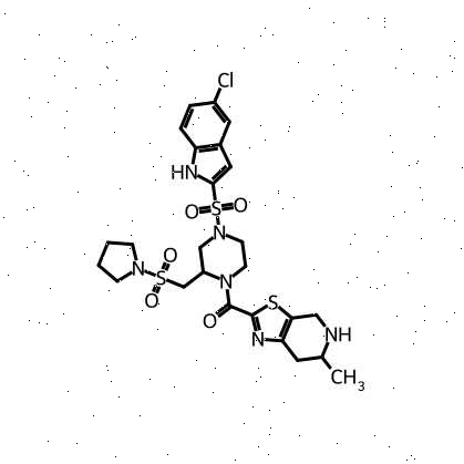 CC1Cc2nc(C(=O)N3CCN(S(=O)(=O)c4cc5cc(Cl)ccc5[nH]4)CC3CS(=O)(=O)N3CCCC3)sc2CN1